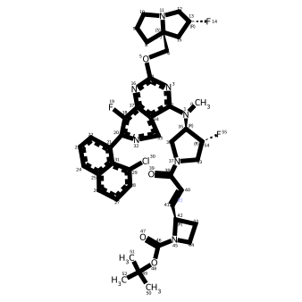 CN(c1nc(OC[C@@]23CCCN2C[C@H](F)C3)nc2c(F)c(-c3cccc4cccc(Cl)c34)ncc12)[C@@H]1CN(C(=O)/C=C/[C@H]2CCN2C(=O)OC(C)(C)C)C[C@H]1F